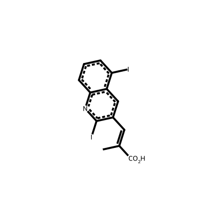 CC(=Cc1cc2c(I)cccc2nc1I)C(=O)O